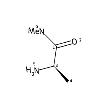 [CH2]NC(=O)[C@@H](C)N